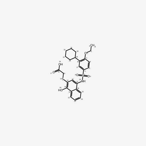 CCOc1ccc(S(=O)(=O)Nc2cc(SCC(=O)O)c(O)c3ccccc23)cc1C1CCCCC1